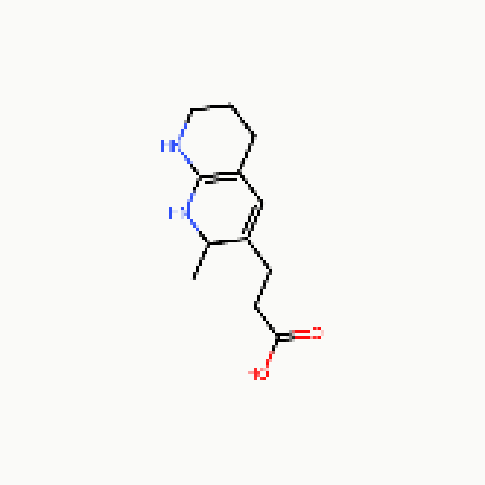 CC1NC2=C(C=C1CCC(=O)O)CCCN2